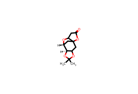 CC1(C)OC2CC34C[C@@H](OC3CC(=O)O4)[C@@H]2O1